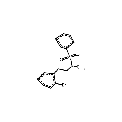 CN(CCc1ccccc1Br)S(=O)(=O)c1ccccc1